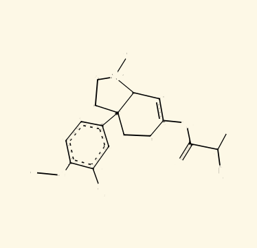 COc1ccc(C23CCC(OC(=O)C(F)F)=CC2N(C)CC3)cc1C